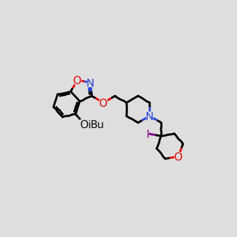 CC(C)COc1cccc2onc(OCC3CCN(CC4(I)CCOCC4)CC3)c12